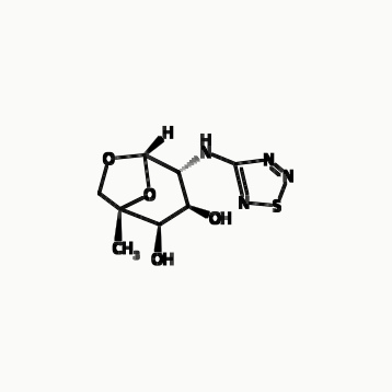 C[C@@]12CO[C@@H](O1)[C@H](Nc1nnsn1)[C@@H](O)[C@H]2O